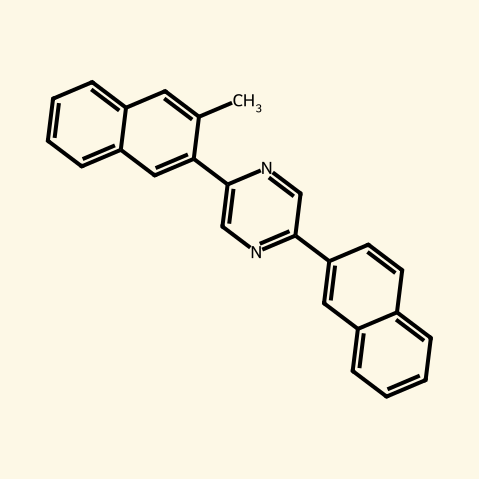 Cc1cc2ccccc2cc1-c1cnc(-c2ccc3ccccc3c2)cn1